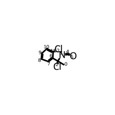 CC(Cl)(N=C=O)c1ccccc1Cl